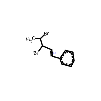 CC(Br)C(Br)/C=C/c1ccccc1